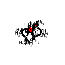 CC(C)(C)c1ccc(N2c3ccc(cc3)C(C)(C)CC(C)(C)c3ccc(cc3)N(c3ccc(C(C)(C)C)cc3)c3cc4c(c5ccccc35)-c3ccc5cc3C4(C(C)(C)C)C3(C(C)(C)C)c4cc2ccc4-c2c3cc(c3ccccc23)N(c2ccc(C(C)(C)C)cc2)c2ccc(cc2)C(C)(C)CC(C)(C)c2ccc(cc2)N5c2ccc(C(C)(C)C)cc2)cc1